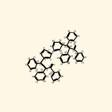 C=C(C(=C(c1ccccc1)c1ccccc1)c1ccccc1)c1ccccc1.C=C(C(=C(c1ccccc1)c1ccccc1)c1ccccc1)c1ccccc1